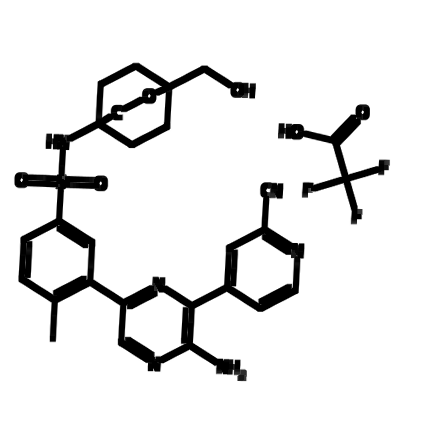 Cc1ccc(S(=O)(=O)NC23CCC(CO)(CC2)OC3)cc1-c1cnc(N)c(-c2ccnc(C#N)c2)n1.O=C(O)C(F)(F)F